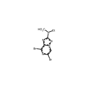 CCN(C(=O)O)c1nc2c(Br)nc(Br)cn2n1